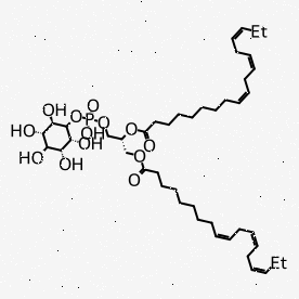 CC/C=C\C/C=C\C/C=C\CCCCCCCC(=O)OC[C@H](COP(=O)(O)OC1[C@H](O)[C@H](O)C(O)[C@H](O)[C@H]1O)OC(=O)CCCCCCC/C=C\C/C=C\C/C=C\CC